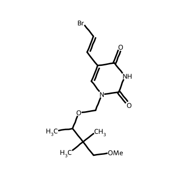 COCC(C)(C)C(C)OCn1cc(/C=C/Br)c(=O)[nH]c1=O